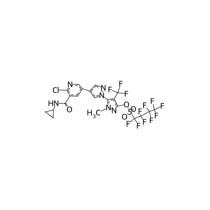 Cn1nc(OS(=O)(=O)C(F)(F)C(F)(F)C(F)(F)C(F)(F)F)c(C(F)(F)F)c1-n1cc(-c2cnc(Cl)c(C(=O)NC3CC3)c2)cn1